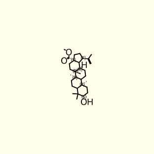 C=C(C)[C@@H]1CC[C@]2(C(=O)OC)CC[C@]3(C)[C@H](CCC4[C@@]5(C)CC[C@H](O)C(C)(C)C5CC[C@]43C)C12